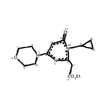 CCOC(=O)Cc1nc(N2CCOCC2)cc(=O)n1C1CC1